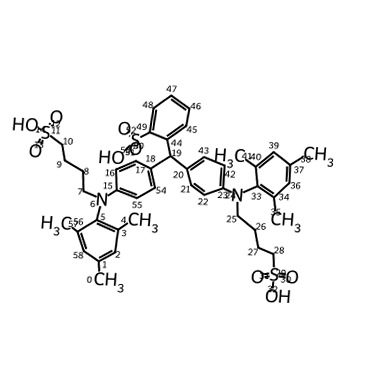 Cc1cc(C)c(N(CCCCS(=O)(=O)O)c2ccc(C(c3ccc(N(CCCCS(=O)(=O)O)c4c(C)cc(C)cc4C)cc3)c3ccccc3S(=O)(=O)O)cc2)c(C)c1